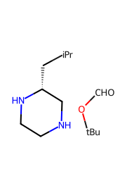 CC(C)(C)OC=O.CC(C)C[C@@H]1CNCCN1